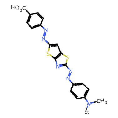 CCN(C)c1ccc(N=Nc2nc3sc(N=Nc4ccc(C(=O)O)cc4)cc3s2)cc1